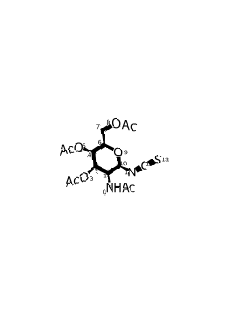 CC(=O)N[C@H]1[C@@H](OC(C)=O)[C@@H](OC(C)=O)[C@@H](COC(C)=O)O[C@H]1N=C=S